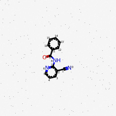 N#Cc1cccnc1NC(=O)c1ccccc1